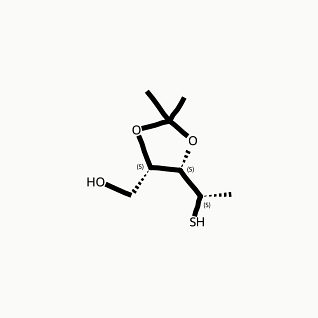 C[C@H](S)[C@H]1OC(C)(C)O[C@H]1CO